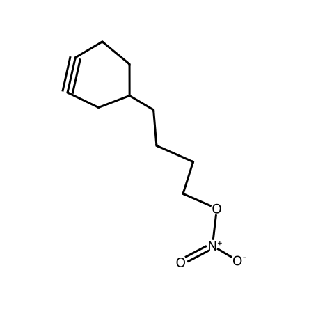 O=[N+]([O-])OCCCCC1CC#CCC1